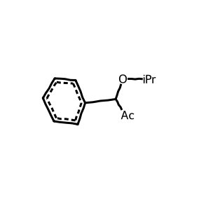 CC(=O)C(OC(C)C)c1ccccc1